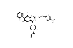 C=CC(=O)N1C[C@H](C)N(c2nc(OCCc3ncc(N(C)C)cn3)nc3c(F)c(-c4c(O)cccc4F)c(Cl)cc23)C[C@H]1C